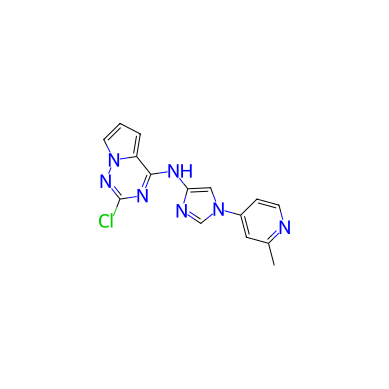 Cc1cc(-n2cnc(Nc3nc(Cl)nn4cccc34)c2)ccn1